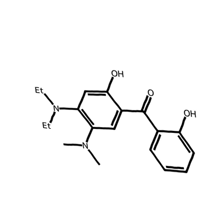 CCN(CC)c1cc(O)c(C(=O)c2ccccc2O)cc1N(C)C